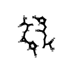 CC(CCC(O)Cc1ccc(Br)o1)C(=O)O.CC(CCC1OC1c1ccc(Br)o1)C(=O)O